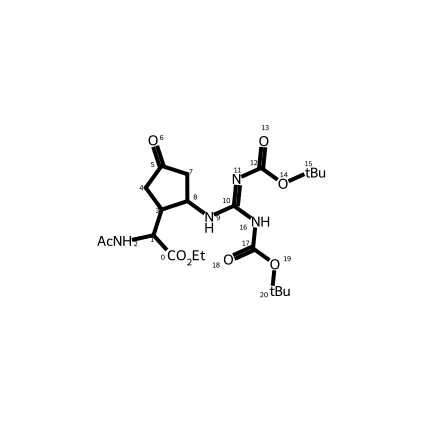 CCOC(=O)C(NC(C)=O)C1CC(=O)CC1NC(=NC(=O)OC(C)(C)C)NC(=O)OC(C)(C)C